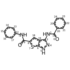 O=C(Nc1n[nH]c2sc(C(=O)Nc3ccccc3)cc12)c1ccccc1